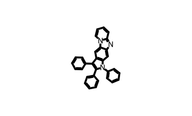 c1ccc(-c2c(-c3ccccc3)n(-c3ccccc3)c3cc4nc5ccccn5c4cc23)cc1